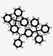 c1ccc(N(c2ccc(C(c3ccccc3)(c3ccccc3)c3ccccc3)cc2)c2ccc3c(c2)C(c2ccccc2)(c2ccccc2)c2ccccc2-3)cc1